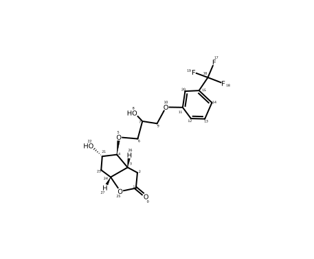 O=C1C[C@H]2[C@H](OCC(O)COc3cccc(C(F)(F)F)c3)[C@@H](O)C[C@H]2O1